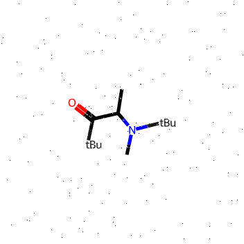 CC(C(=O)C(C)(C)C)N(C)C(C)(C)C